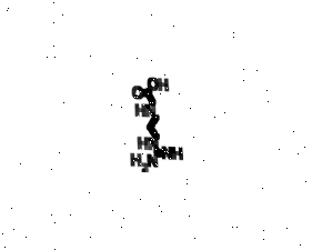 N=C(N)NCCCNCC(=O)O